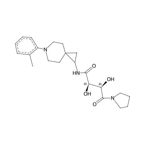 Cc1ccccc1N1CCC2(CC1)CC2NC(=O)[C@H](O)[C@@H](O)C(=O)N1CCCC1